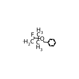 [CH2]C(F)C(C)(C)OCc1ccccc1